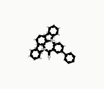 O=c1c2cc(-c3ccccc3)ccc2n2c3ccccc3c3ccc4c5ccccc5n1c4c32